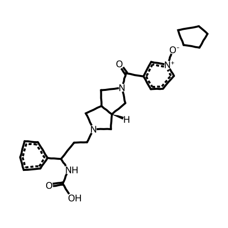 C1CCCC1.O=C(O)NC(CCN1CC2CN(C(=O)c3ccc[n+]([O-])c3)C[C@@H]2C1)c1ccccc1